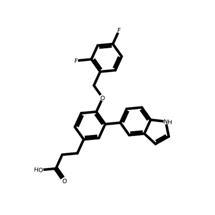 O=C(O)CCc1ccc(OCc2ccc(F)cc2F)c(-c2ccc3[nH]ccc3c2)c1